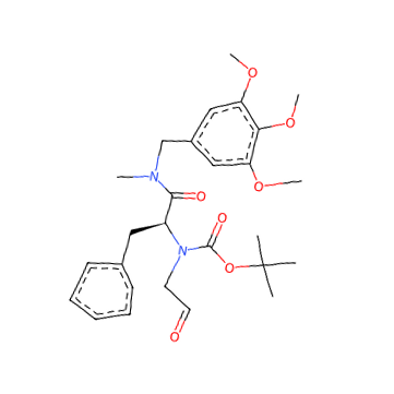 COc1cc(CN(C)C(=O)[C@H](Cc2ccccc2)N(CC=O)C(=O)OC(C)(C)C)cc(OC)c1OC